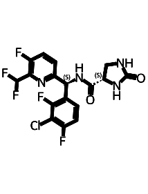 O=C1NC[C@@H](C(=O)N[C@H](c2ccc(F)c(C(F)F)n2)c2ccc(F)c(Cl)c2F)N1